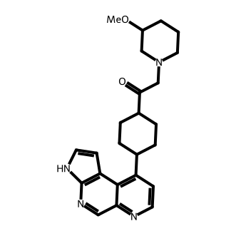 COC1CCCN(CC(=O)C2CCC(c3ccnc4cnc5[nH]ccc5c34)CC2)C1